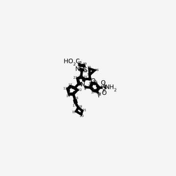 NS(=O)(=O)c1ccc(Cn2c(-c3cccc(C#CC4CCC4)c3)cc(-c3nc(C(=O)O)cs3)c2C(=O)C2CC2)cc1F